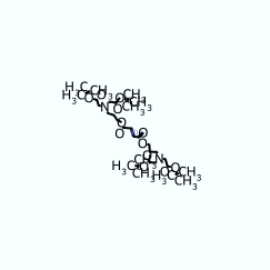 CC(C)(C)OC(=O)CN(CCCOC(=O)/C=C/C(=O)OCCCN(CC(=O)OC(C)(C)C)CC(=O)OC(C)(C)C)CC(=O)OC(C)(C)C